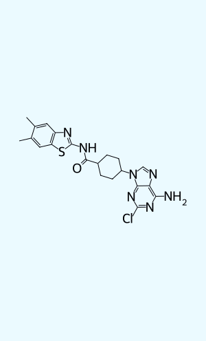 Cc1cc2nc(NC(=O)C3CCC(n4cnc5c(N)nc(Cl)nc54)CC3)sc2cc1C